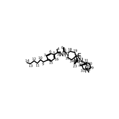 C=C(/N=C(\C)c1ccc(CCCCCC)cc1)N1CCC(F)(C(=C)NC2(C)CN3CCC2CC3)CC1